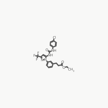 CCOC(=O)CCc1cccc(-n2nc(C(F)(F)F)cc2NC(=O)Nc2ccc(Cl)cc2)c1